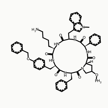 Cn1cc(CC2NC(=O)[C@@H](c3ccccc3)NC(=O)[C@@H]3CC(OP)CN3C(=O)[C@@H](Cc3ccccc3)NC(=O)[C@@H](Cc3ccc(OCc4ccccc4)cc3)NC(=O)[C@@H](CCCCN)NC2=O)c2ccccc21